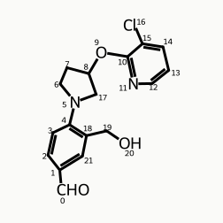 O=Cc1ccc(N2CCC(Oc3ncccc3Cl)C2)c(CO)c1